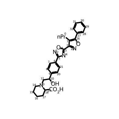 CCCc1c(-c2nc(-c3ccc(C(O)CN4CCCCC4C(=O)O)cc3)no2)noc1-c1ccccc1